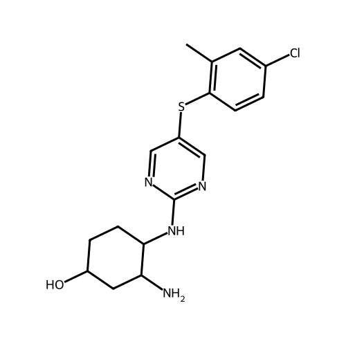 Cc1cc(Cl)ccc1Sc1cnc(NC2CCC(O)CC2N)nc1